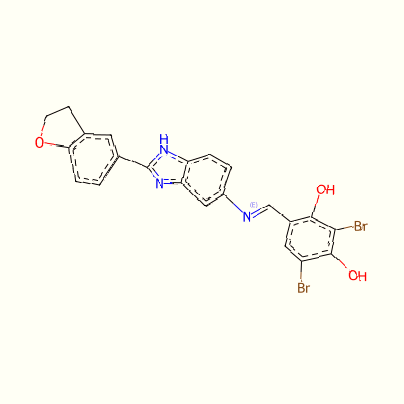 Oc1c(Br)cc(/C=N/c2ccc3[nH]c(-c4ccc5c(c4)CCO5)nc3c2)c(O)c1Br